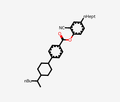 CCCCCCCc1ccc(OC(=O)c2ccc(C3CCC(C(C)CCCC)CC3)cc2)c(C#N)c1